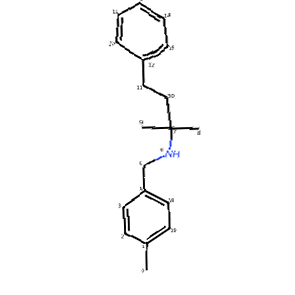 Cc1ccc(CNC(C)(C)CCc2ccccc2)cc1